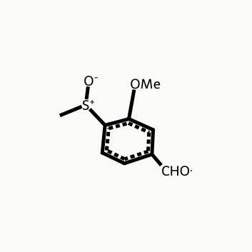 COc1cc([C]=O)ccc1[S+](C)[O-]